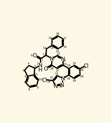 O=C(NC1CCc2ccccc21)C(Cc1ccccc1)n1cnc(-c2cc(Cl)ccc2-n2cc(Cl)nn2)cc1=O